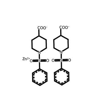 O=C([O-])C1CCN(S(=O)(=O)c2ccccc2)CC1.O=C([O-])C1CCN(S(=O)(=O)c2ccccc2)CC1.[Zn+2]